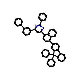 c1ccc(-c2cccc(-c3cc(-c4ccc(-c5ccc6c(c5)C(c5ccccc5)(c5ccccc5)c5ccccc5-6)c5ccccc45)nc(-c4ccccc4)n3)c2)cc1